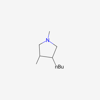 CCCCC1CN(C)CC1C